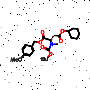 COc1ccc(COC(=O)[C@H](CC(=O)OC2CCCCC2)N(C)C(=O)OC(C)(C)C)cc1